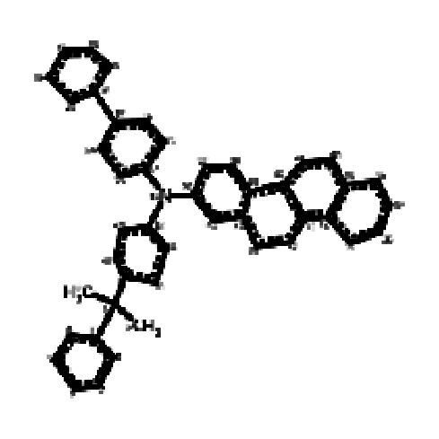 CC(C)(c1ccccc1)c1ccc(N(c2ccc(-c3ccccc3)cc2)c2ccc3c(ccc4c5ccccc5ccc34)c2)cc1